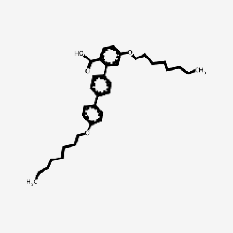 CCCCCCCCOc1ccc(-c2ccc(-c3cc(OCCCCCCCC)ccc3C(=O)O)cc2)cc1